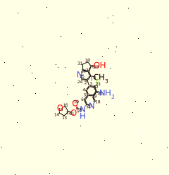 Cc1c(-c2cc3cc(NC(=O)OC4CCOC4)ncc3c(N)c2F)cnc2c1C(O)CC2